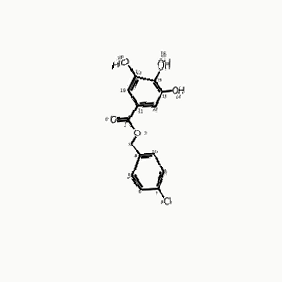 O=C(OCc1ccc(Cl)cc1)c1cc(O)c(O)c(O)c1